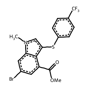 COC(=O)c1cc(Br)cc2c1c(Sc1ccc(C(F)(F)F)cc1)cn2C